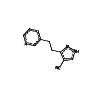 N#Cc1c[nH]nc1CCc1cccnc1